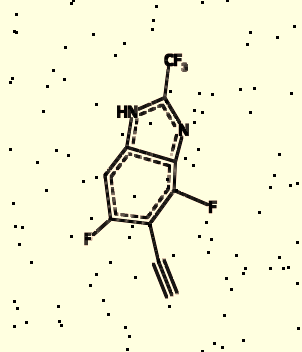 C#Cc1c(F)cc2[nH]c(C(F)(F)F)nc2c1F